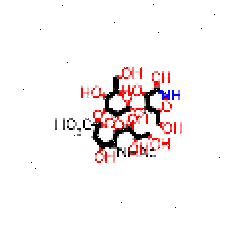 CC(=O)N[C@@H]1C(O)C[C@](OC2[C@H](O)C(O[C@@H]3C(CO)ONC(O)C3O)OC(CO)[C@@H]2O)(C(=O)O)OC1[C@H](O)[C@H](O)CO